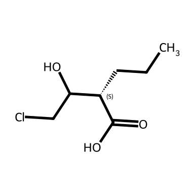 CCC[C@H](C(=O)O)C(O)CCl